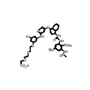 CCc1cc(Nc2cc(Oc3ccc(NC(=O)Nc4cc(C(C)(C)C)cc(N[S+](C)[O-])c4OC)c4ccccc34)ccn2)cc(OCCOCCOCC(=O)O)c1